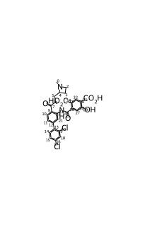 CN1CCC1CCC(=O)c1ccc(-c2ccc(Cl)cc2Cl)cc1NC(=O)c1cc(O)c(C(=O)O)cc1C(=O)O